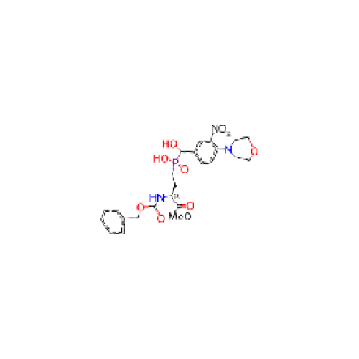 COC(=O)[C@H](CCP(=O)(O)C(O)c1ccc(N2CCOCC2)c([N+](=O)[O-])c1)NC(=O)OCc1ccccc1